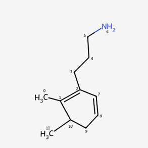 CC1=C(CCCN)C=CCC1C